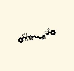 CO[C@H](C(=O)Nc1nnc(CCCCc2nnc(NC(O)[C@@H](OC)c3ccccc3)s2)s1)c1ccccc1